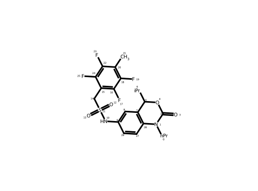 CCCN1C(=O)OC(C(C)C)c2cc(NS(=O)(=O)Cc3c(F)c(F)c(C)c(F)c3F)ccc21